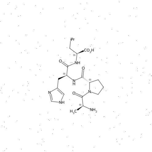 CC(C)C[C@H](NC(=O)[C@H](Cc1c[nH]cn1)NC(=O)[C@@H]1CCCN1C(=O)[C@H](C)N)C(=O)O